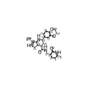 Cc1ccc(CNC(=O)C2CC(c3ccc4c(c3)OCCO4)NC3C2CNN3C(C)C)c(=O)[nH]1